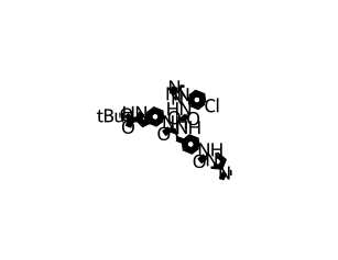 CN(C)[C@H]1CCN(C(=O)Nc2ccc(C[C@H](NC(=O)C(=O)Nc3cc(Cl)ccc3-n3cnnn3)C(=O)Nc3ccc4[nH]c(C(=O)OC(C)(C)C)cc4c3)cc2)C1